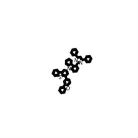 c1ccc(-c2cc(-c3ccccc3)nc(-c3cccc4c3c3ccccc3n4-c3cc(-c4ccc5oc6ccccc6c5c4)c4sc5ccccc5c4c3)n2)cc1